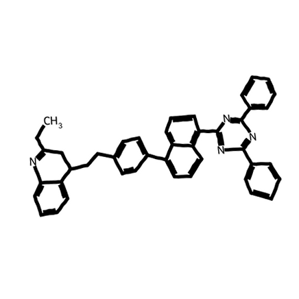 CCC1=Nc2ccccc2C(CCc2ccc(-c3cccc4c(-c5nc(-c6ccccc6)nc(-c6ccccc6)n5)cccc34)cc2)C1